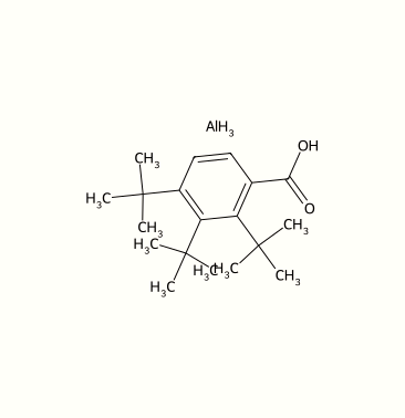 CC(C)(C)c1ccc(C(=O)O)c(C(C)(C)C)c1C(C)(C)C.[AlH3]